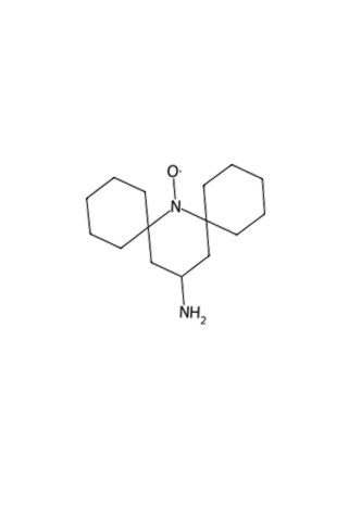 NC1CC2(CCCCC2)N([O])C2(CCCCC2)C1